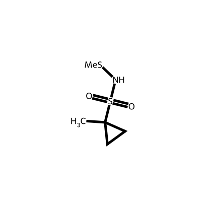 CSNS(=O)(=O)C1(C)CC1